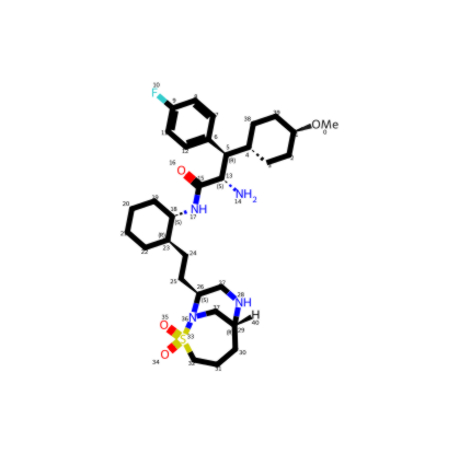 CO[C@H]1CC[C@H]([C@H](c2ccc(F)cc2)[C@H](N)C(=O)N[C@H]2CCCC[C@@H]2CC[C@H]2CN[C@@H]3CCCS(=O)(=O)N2C3)CC1